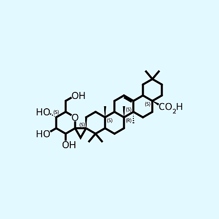 CC1(C)CC[C@]2(C(=O)O)CC[C@]3(C)C(=CCC4[C@@]5(C)CC[C@]6(CC67OC(CO)[C@@H](O)C(O)C7O)C(C)(C)C5CC[C@]43C)C2C1